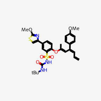 C=C/C=C(\C=C(/C)Oc1ccc(-c2csc(OC)n2)cc1S(=O)(=O)NC(=O)NC(C)(C)C)c1ccc(OC)cc1